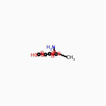 CCCCCCCCOc1ccc(C(=O)Oc2ccc(-c3ccc(OC(=O)c4ccc(O)cc4)cc3)cc2)c(OCCCN)c1